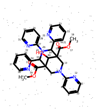 COC(=O)C12CN(c3ccccn3)CC(C(=O)OC)(C(c3ccccn3)N(c3ccccn3)C1c1ccccn1)C2O